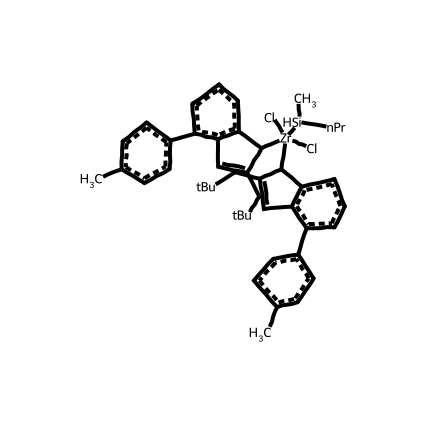 CCC[SiH](C)[Zr]([Cl])([Cl])([CH]1C(CC(C)(C)C)=Cc2c(-c3ccc(C)cc3)cccc21)[CH]1C(CC(C)(C)C)=Cc2c(-c3ccc(C)cc3)cccc21